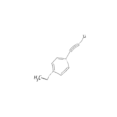 [Li][C]#Cc1ccc(CC)cc1